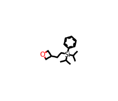 CC(C)[Si](CCC1COC1)(c1ccccc1)C(C)C